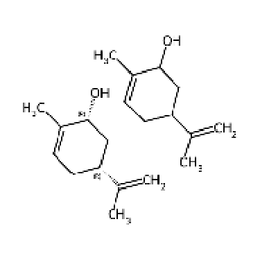 C=C(C)C1CC=C(C)C(O)C1.C=C(C)[C@@H]1CC=C(C)[C@H](O)C1